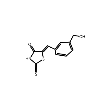 O=C1NC(=S)S/C1=C\c1cccc(CO)c1